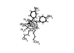 CCCC[CH2][Zr](=[O])([OH])([CH2]CCCC)([CH2]C(C)(C)C)([CH2]C(C)(C)C)([O]C(=O)c1ccc(N)cc1)[O]C(=O)c1ccc(N)cc1